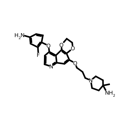 CC1(N)CCN(CCCOc2cc3nccc(Oc4ccc(N)cc4F)c3c3c2OCCO3)CC1